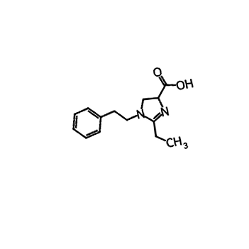 CCC1=NC(C(=O)O)CN1CCc1ccccc1